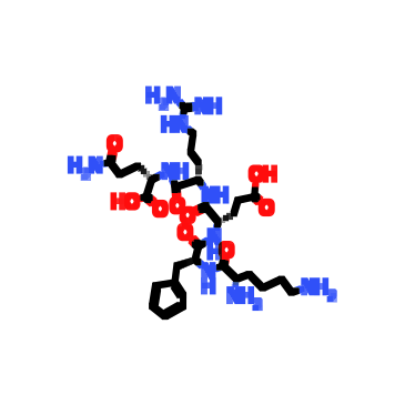 N=C(N)NCCC[C@H](NC(=O)[C@H](CCC(=O)O)NC(=O)[C@H](Cc1ccccc1)NC(=O)[C@@H](N)CCCCN)C(=O)N[C@@H](CCC(N)=O)C(=O)O